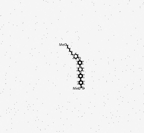 COCCCCCCN1CCC(Oc2ccc(N3CCN(c4ccc(-c5ccc(C(=O)OC)cc5)cc4)CC3)cc2)CC1